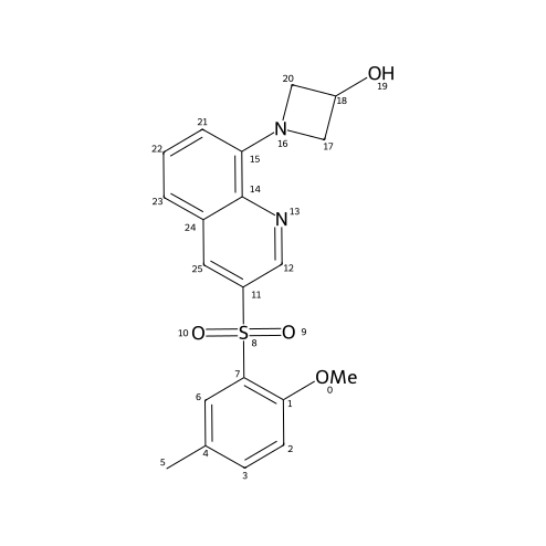 COc1ccc(C)cc1S(=O)(=O)c1cnc2c(N3CC(O)C3)cccc2c1